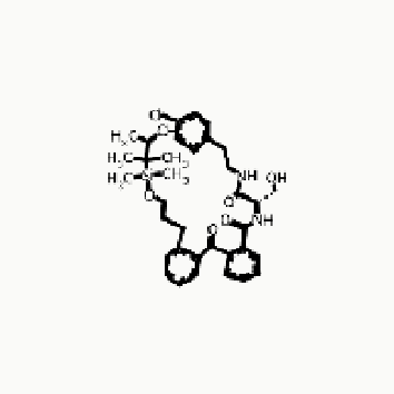 CC(C)C(C)(C)[Si](C)(C)OCCCc1ccccc1C(=O)c1ccccc1C(=O)N[C@@H](CO)C(=O)NCCc1ccc(Cl)cc1